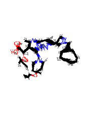 C=CCOC1(C)CCN(c2c([C@H](OC(C)(C)C)C(=O)O)c(C)nc3cc(-c4cnn(Cc5ccccc5)c4)nn23)CC1